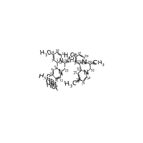 Br.Br.CC1=CC2C3C=C(C)C=CN3C(C)CN2C=C1.CC1=CC2C3C=C(C)C=CN3C(C)CN2C=C1